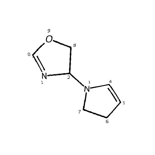 [C]1=NC(N2C=CCC2)CO1